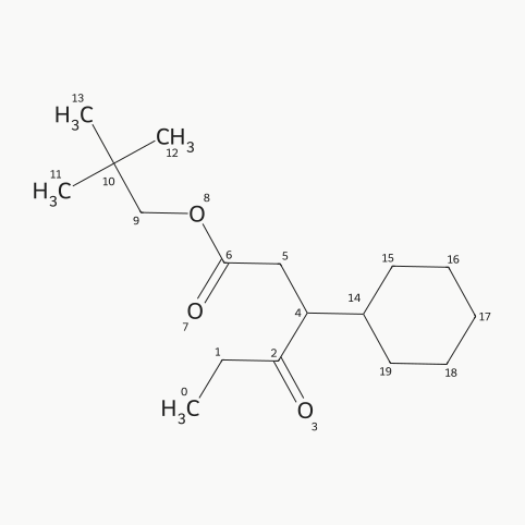 CCC(=O)C(CC(=O)OCC(C)(C)C)C1CCCCC1